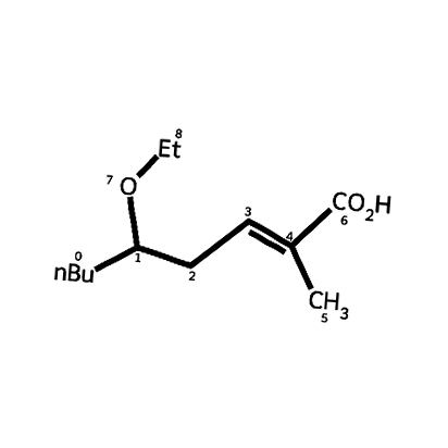 CCCCC(CC=C(C)C(=O)O)OCC